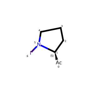 CC(=O)[C@@H]1CCCN1I